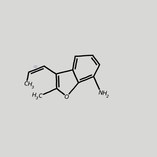 C/C=C\c1c(C)oc2c(N)cccc12